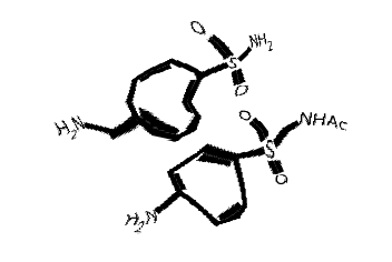 CC(=O)NS(=O)(=O)c1ccc(N)cc1.NCc1ccc(S(N)(=O)=O)cc1